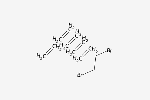 BrCCBr.C=C.C=C.C=C.C=C.C=C